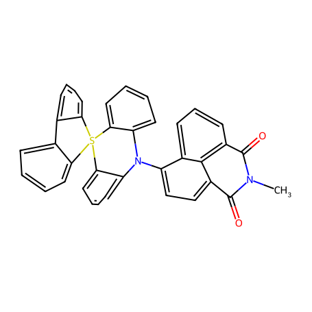 CN1C(=O)c2cccc3c(N4c5ccccc5S5(c6ccccc6-c6ccccc65)c5ccccc54)ccc(c23)C1=O